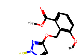 CCCOC(=O)c1cccc(OC(C)C)c1COc1ccn(S)n1